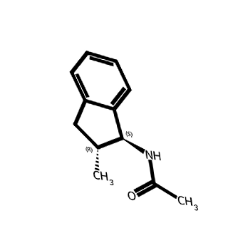 CC(=O)N[C@@H]1c2ccccc2C[C@H]1C